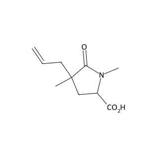 C=CCC1(C)CC(C(=O)O)N(C)C1=O